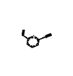 C#Cc1cccc(C=C)n1